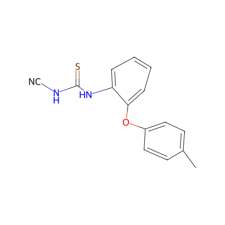 Cc1ccc(Oc2ccccc2NC(=S)NC#N)cc1